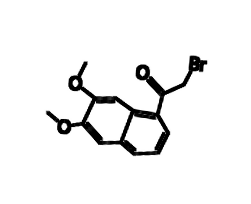 COc1cc2cccc(C(=O)CBr)c2cc1OC